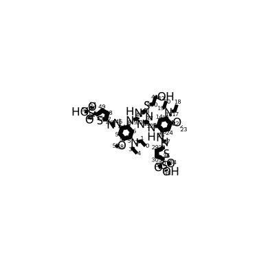 CCN(CC)c1cc(Nc2nc(Nc3cc(N(CC)CC)c(OC)cc3/N=N/c3ccc(S(=O)(=O)O)s3)nc(SCCO)n2)c(/N=N/c2ccc(S(=O)(=O)O)s2)cc1OC